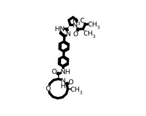 CC(C)[C@H](C)C(=O)N1CCC[C@H]1c1nc(-c2ccc(-c3ccc(NC(=O)[C@@H]4CCOCCCCC[C@H](C)C(=O)N4)cc3)cc2)c[nH]1